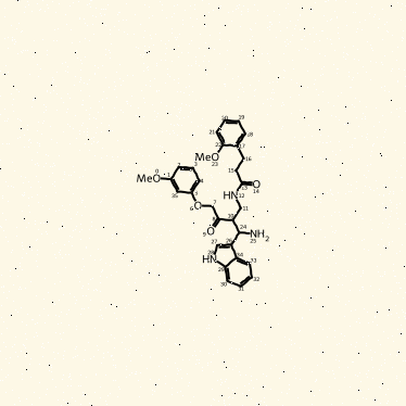 COc1cccc(OCC(=O)C(CNC(=O)CCc2ccccc2OC)C(N)c2c[nH]c3ccccc23)c1